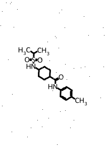 Cc1ccc(NC(=O)C2CCC(NS(=O)(=O)C(C)C)CC2)cc1